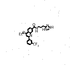 CCOc1cc(-c2cccc(C(F)(F)F)c2)nc2cc(C(=O)NCCCC3=NNCN3)ccc12